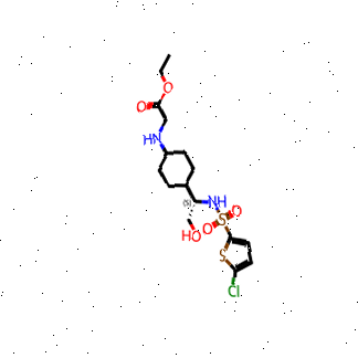 CCOC(=O)CNC1CCC([C@@H](CO)NS(=O)(=O)c2ccc(Cl)s2)CC1